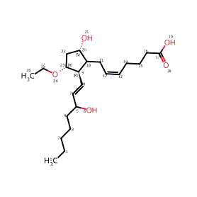 CCCCCC(O)/C=C/[C@@H]1C(C/C=C\CCCC(=O)O)[C@@H](O)C[C@H]1OCC